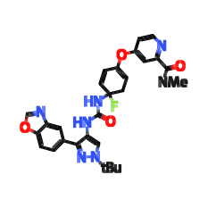 CNC(=O)c1cc(OC2=CCC(F)(NC(=O)Nc3cn(C(C)(C)C)nc3-c3ccc4ocnc4c3)C=C2)ccn1